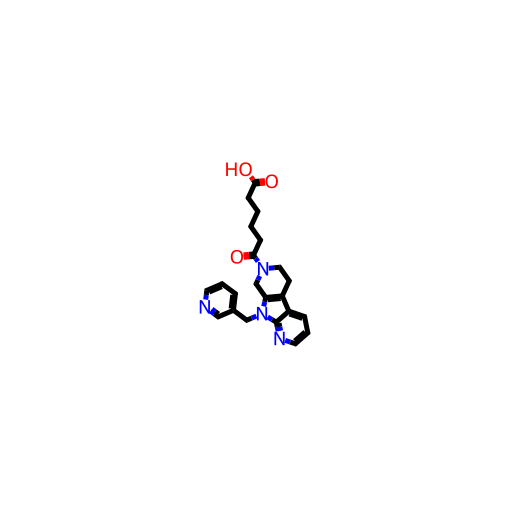 O=C(O)CCCCC(=O)N1CCc2c(n(Cc3cccnc3)c3ncccc23)C1